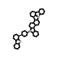 c1ccc2c(c1)sc1c(-c3ccc(-n4c5ccccc5c5c6ccc7c(c6ccc54)c4cccc5c6ccccc6n7c54)cc3)cccc12